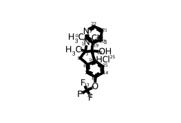 CN(C)C1(C)Cc2cc(OC(F)(F)F)ccc2C1(O)c1cccnc1.Cl